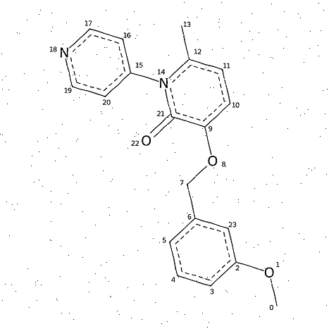 COc1cccc(COc2ccc(C)n(-c3ccncc3)c2=O)c1